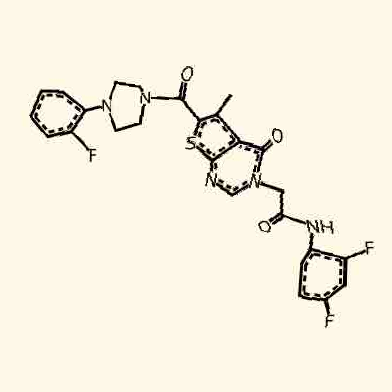 Cc1c(C(=O)N2CCN(c3ccccc3F)CC2)sc2ncn(CC(=O)Nc3ccc(F)cc3F)c(=O)c12